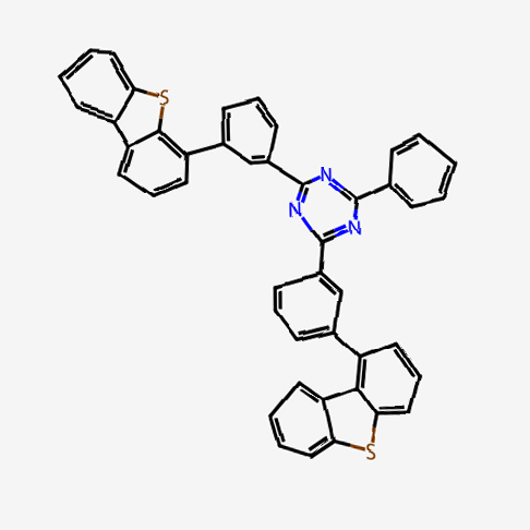 c1ccc(-c2nc(-c3cccc(-c4cccc5c4sc4ccccc45)c3)nc(-c3cccc(-c4cccc5sc6ccccc6c45)c3)n2)cc1